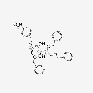 O=[N+]([O-])c1ccc(CO[C@H](COCc2ccccc2)[C@@H](O)[C@H](O)[C@@H](COCc2ccccc2)OCc2ccccc2)cc1